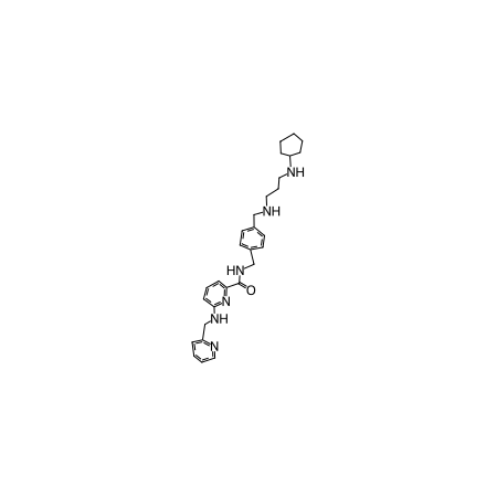 O=C(NCc1ccc(CNCCCNC2CCCCC2)cc1)c1cccc(NCc2ccccn2)n1